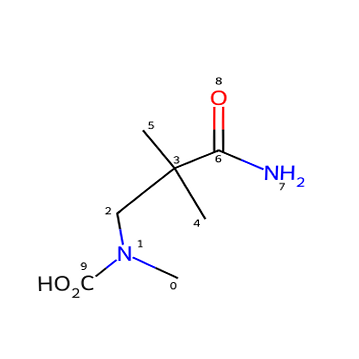 CN(CC(C)(C)C(N)=O)C(=O)O